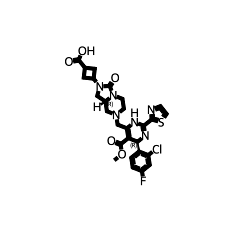 COC(=O)C1=C(CN2CCN3C(=O)N(C4CC(C(=O)O)C4)C[C@H]3C2)NC(c2nccs2)=N[C@H]1c1ccc(F)cc1Cl